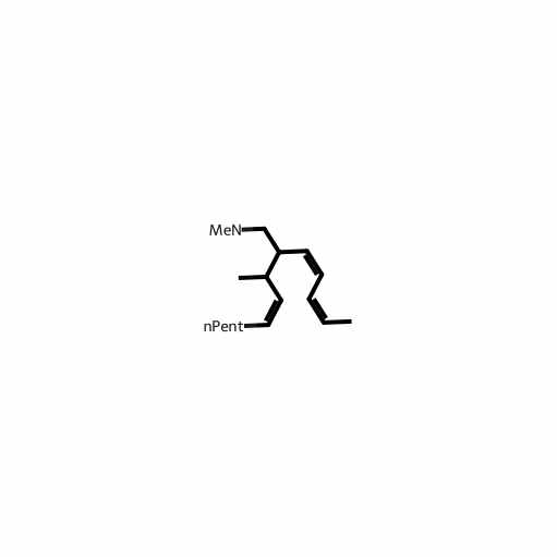 C/C=C\C=C/C(CNC)C(C)/C=C\CCCCC